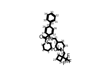 O=C(N1CCC[C@@H](O)C1)C1(NCC2CCN(CC3(C(F)(F)F)CCC3)CC2)C=CC(c2ccccc2)C=C1